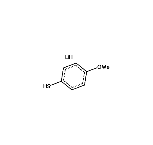 COc1ccc(S)cc1.[LiH]